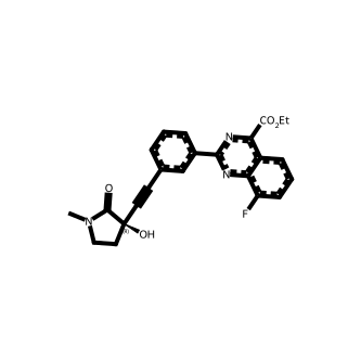 CCOC(=O)c1nc(-c2cccc(C#C[C@]3(O)CCN(C)C3=O)c2)nc2c(F)cccc12